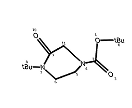 CC(C)(C)OC(=O)N1CCN(C(C)(C)C)C(=O)C1